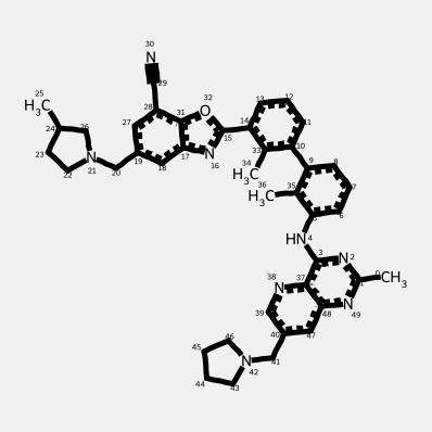 Cc1nc(Nc2cccc(-c3cccc(-c4nc5cc(CN6CCC(C)C6)cc(C#N)c5o4)c3C)c2C)c2ncc(CN3CCCC3)cc2n1